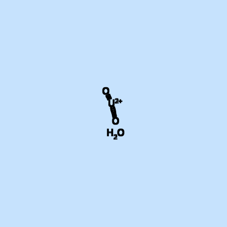 O.[O]=[U+2]=[O]